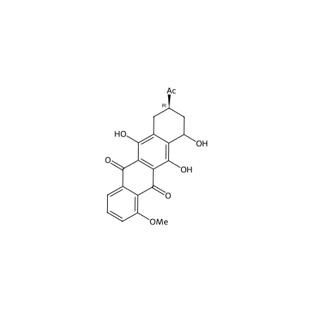 COc1cccc2c1C(=O)c1c(O)c3c(c(O)c1C2=O)C[C@@H](C(C)=O)CC3O